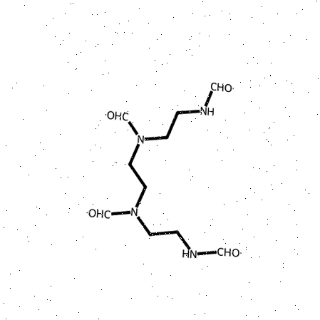 O=[C]NCCN([C]=O)CCN([C]=O)CCN[C]=O